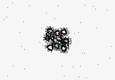 C(/C=[C](\SCc1ccccc1)[Sn]([c]1ccccc1)([c]1ccccc1)[c]1ccccc1)=[C](/SCc1ccccc1)[Sn]([c]1ccccc1)([c]1ccccc1)[c]1ccccc1